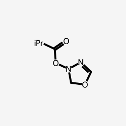 CC(C)C(=O)ON1COC=N1